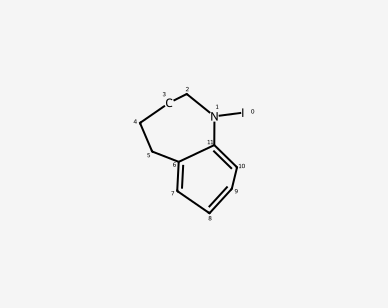 IN1CCCCc2ccccc21